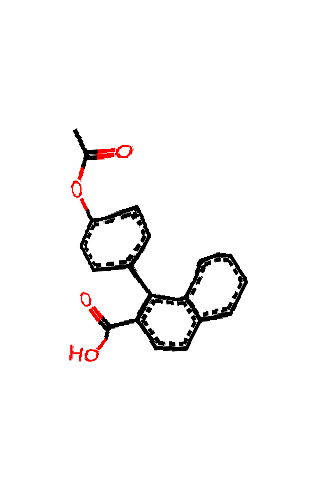 CC(=O)Oc1ccc(-c2c(C(=O)O)ccc3ccccc23)cc1